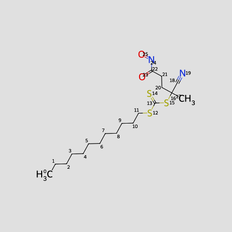 CCCCCCCCCCCCSC(=S)SC(C)(C#N)CCC(=O)N=O